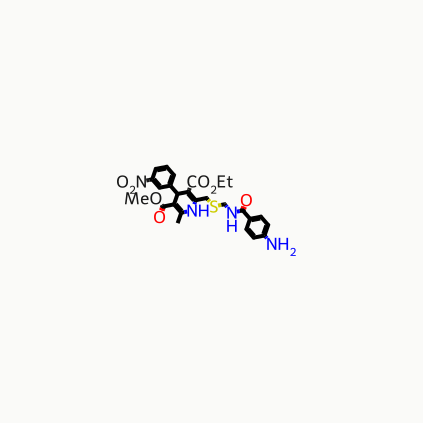 CCOC(=O)C1=C(CSCNC(=O)c2ccc(N)cc2)NC(C)=C(C(=O)OC)C1c1cccc([N+](=O)[O-])c1